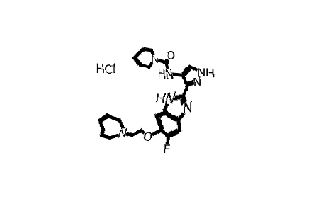 Cl.O=C(Nc1c[nH]nc1-c1nc2cc(F)c(OCCN3CCCCC3)cc2[nH]1)N1CCCCC1